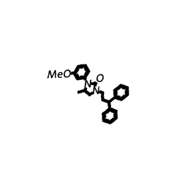 COc1cccc(N2C(=O)N(CCC(c3ccccc3)c3ccccc3)CC2C)c1